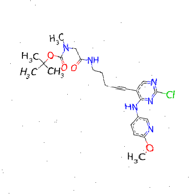 COc1ccc(Nc2nc(Cl)ncc2C#CCCCNC(=O)CN(C)C(=O)OC(C)(C)C)cn1